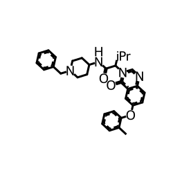 Cc1ccccc1Oc1ccc2ncn(C(C(=O)NC3CCN(Cc4ccccc4)CC3)C(C)C)c(=O)c2c1